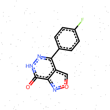 O=c1[nH]nc(-c2ccc(F)cc2)c2conc12